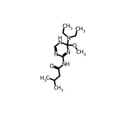 CCN(CC)C1(OC)N=C(NC(=O)CC(C)C)N=CN1